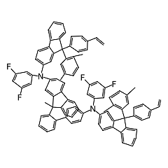 C=Cc1ccc(C2(c3cc(C)ccc3C)c3ccccc3-c3ccc(N(c4ccc(-c5ccccc5C5(C)c6ccccc6-c6ccc(N(c7cc(F)cc(F)c7)c7ccc8c(c7)C(c7ccc(C=C)cc7)(c7cc(C)ccc7C)c7ccccc7-8)cc65)cc4)c4cc(F)cc(F)c4)cc32)cc1